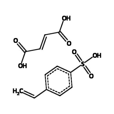 C=Cc1ccc(S(=O)(=O)O)cc1.O=C(O)C=CC(=O)O